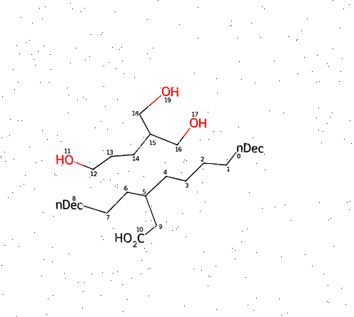 CCCCCCCCCCCCCCC(CCCCCCCCCCCC)CC(=O)O.OCCCC(CO)CO